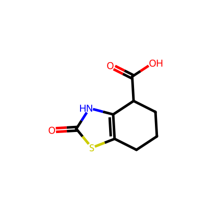 O=C(O)C1CCCc2sc(=O)[nH]c21